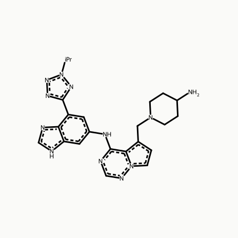 CC(C)n1nnc(-c2cc(Nc3ncnn4ccc(CN5CCC(N)CC5)c34)cc3[nH]cnc23)n1